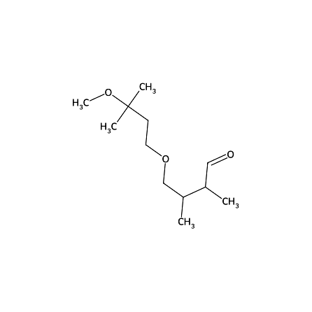 COC(C)(C)CCOCC(C)C(C)C=O